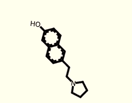 Oc1ccc2cc(CCN3CCCC3)ccc2c1